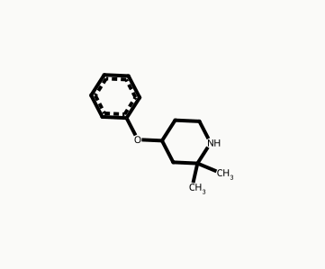 CC1(C)CC(Oc2ccccc2)CCN1